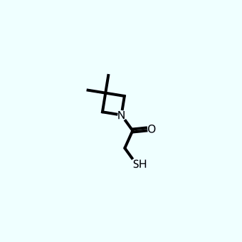 CC1(C)CN(C(=O)CS)C1